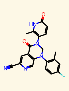 Cc1cc(F)ccc1N1CN(c2ccc(=O)[nH]c2C)C(=O)c2cc(C#N)ncc21